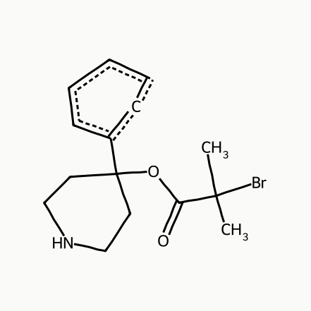 CC(C)(Br)C(=O)OC1(c2ccccc2)CCNCC1